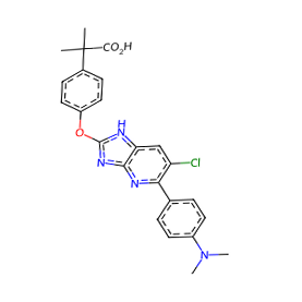 CN(C)c1ccc(-c2nc3nc(Oc4ccc(C(C)(C)C(=O)O)cc4)[nH]c3cc2Cl)cc1